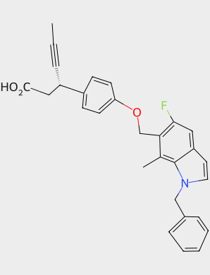 CC#C[C@@H](CC(=O)O)c1ccc(OCc2c(F)cc3ccn(Cc4ccccc4)c3c2C)cc1